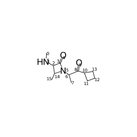 CNC1C(=O)N(C(C)C(=O)C2CCC2)C1C